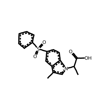 Cc1cn(C(C)C(=O)O)c2ccc(S(=O)(=O)c3ccccc3)cc12